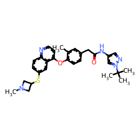 Cc1cc(CC(=O)Nc2cnn(C(C)(C)C)c2)ccc1Oc1ccnc2ccc(SC3CN(C)C3)cc12